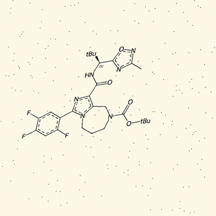 Cc1noc([C@@H](NC(=O)c2nc(-c3cc(F)c(F)cc3F)n3c2CN(C(=O)OC(C)(C)C)CCC3)C(C)(C)C)n1